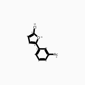 CC(=O)c1cccc(-c2ccc(Cl)o2)c1